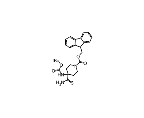 CC(C)(C)OC(=O)NC1(C(N)=S)CCN(C(=O)OCC2c3ccccc3-c3ccccc32)CC1